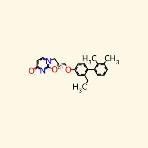 CCc1cc(OC[C@@H]2Cn3ccc(=O)nc3O2)ccc1-c1cccc(C)c1C